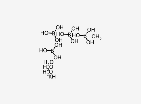 O.O.O.O.OB(O)O.OB(O)O.OB(O)O.OB(O)O.[KH]